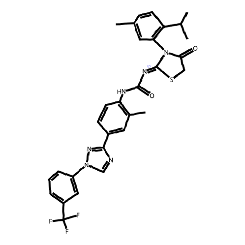 Cc1ccc(C(C)C)c(N2C(=O)CS/C2=N\C(=O)Nc2ccc(-c3ncn(-c4cccc(C(F)(F)F)c4)n3)cc2C)c1